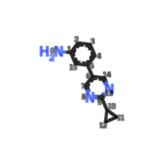 Nc1cccc(-c2cnc(C3CC3)nc2)c1